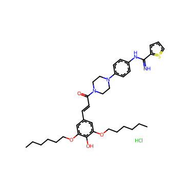 CCCCCCOc1cc(C=CC(=O)N2CCN(c3ccc(NC(=N)c4cccs4)cc3)CC2)cc(OCCCCCC)c1O.Cl